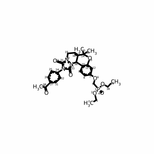 CCOP(=O)(COc1ccc2c(c1)OC(C)(C)C1=CCn3c(=O)n(-c4ccc(C(C)=O)cc4)c(=O)n3C12)OCC